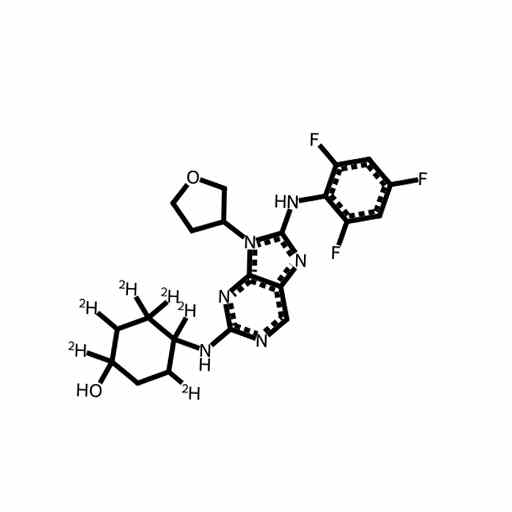 [2H]C1C([2H])(O)CC([2H])C([2H])(Nc2ncc3nc(Nc4c(F)cc(F)cc4F)n(C4CCOC4)c3n2)C1([2H])[2H]